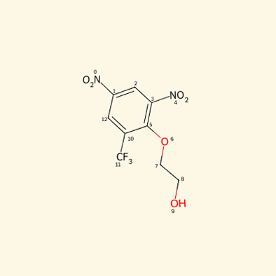 O=[N+]([O-])c1cc([N+](=O)[O-])c(OCCO)c(C(F)(F)F)c1